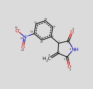 C=C1C(=O)NC(=O)C1c1cccc([N+](=O)[O-])c1